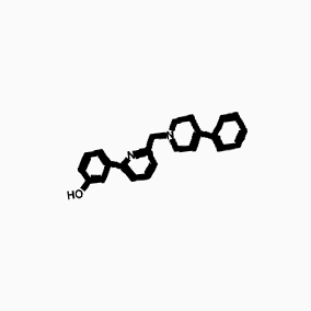 Oc1cccc(-c2cccc(CN3CC=C(c4ccccc4)CC3)n2)c1